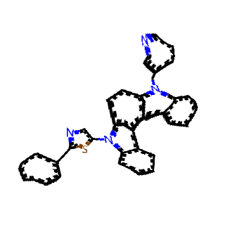 c1ccc(-c2ncc(-n3c4ccccc4c4c5c6ccccc6n(-c6cccnc6)c5ccc43)s2)cc1